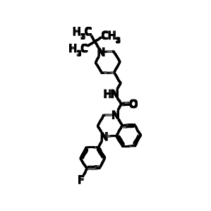 CC(C)(C)N1CCC(CNC(=O)N2CCN(c3ccc(F)cc3)c3ccccc32)CC1